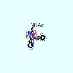 CC(=O)N/C=C/C(=O)NNC(=O)[C@H](CC1CCCCC1)NC(=O)OCc1ccccc1